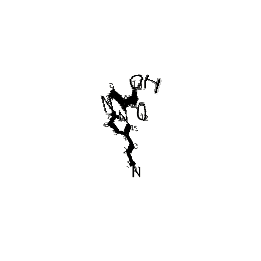 N#C/C=C/c1ccc2ncc(C(=O)O)n2c1